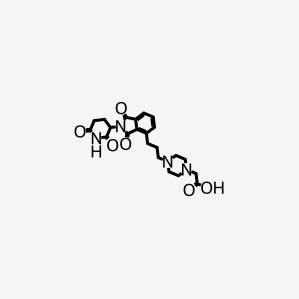 O=C(O)CN1CCN(CCCc2cccc3c2C(=O)N(C2CCC(=O)NC2=O)C3=O)CC1